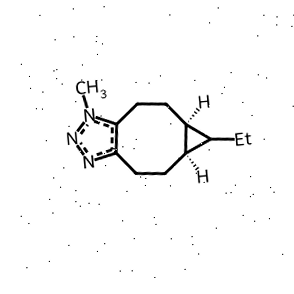 CCC1[C@H]2CCc3nnn(C)c3CC[C@@H]12